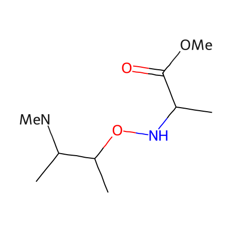 CNC(C)C(C)ONC(C)C(=O)OC